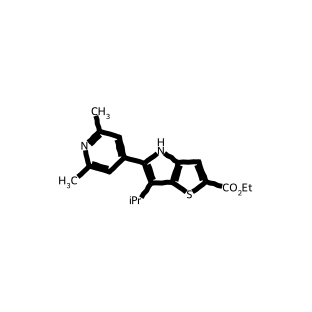 CCOC(=O)c1cc2[nH]c(-c3cc(C)nc(C)c3)c(C(C)C)c2s1